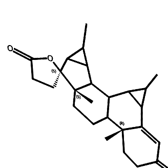 CC1C2C3=CC(=O)CC[C@]3(C)C3CC[C@@]4(C)C(C3C12)C1C(C)C1[C@@]41CCC(=O)O1